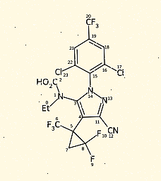 CCN(C(=O)O)c1c(C2(C(F)(F)F)CC2(F)F)c(C#N)nn1-c1c(Cl)cc(C(F)(F)F)cc1Cl